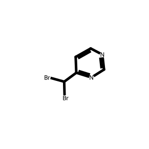 BrC(Br)c1ccncn1